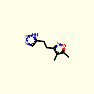 Cc1onc(CCc2[c]nn[nH]2)c1C